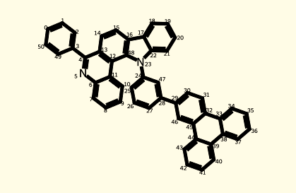 c1ccc(-c2nc3ccccc3c3c2ccc2c4ccccc4n(-c4cccc(-c5ccc6c7ccccc7c7ccccc7c6c5)c4)c23)cc1